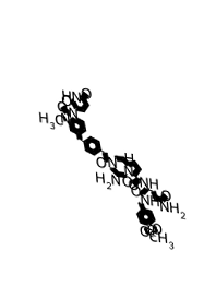 Cn1c(=O)n(C2CCC(=O)NC2=O)c2ccc(C[C@H]3CC[C@@H](CC(=O)N4CC[C@H]5CC[C@@H](C(=O)N[C@H](CCC(N)=O)C(=O)NCc6ccc(S(C)(=O)=O)cc6)N5C(=O)[C@@H](N)C4)CC3)cc21